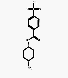 NS(=O)(=O)c1ccc(C(=O)N[C@H]2CC[C@H](N)CC2)cc1